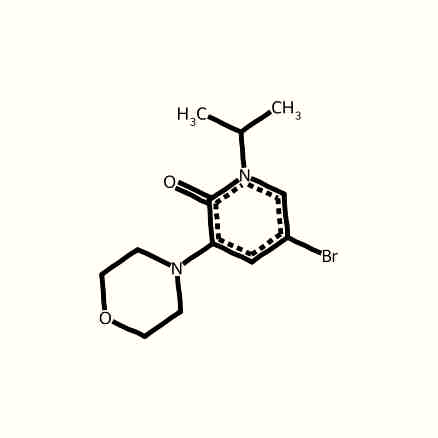 CC(C)n1cc(Br)cc(N2CCOCC2)c1=O